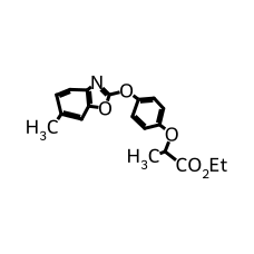 CCOC(=O)C(C)Oc1ccc(Oc2nc3ccc(C)cc3o2)cc1